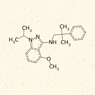 COc1cccc2c1c(NCC(C)(C)c1ccccc1)nn2C(C)C